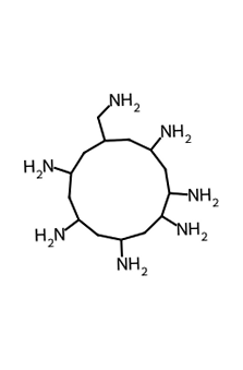 NCC1CC(N)CC(N)CC(N)CC(N)C(N)CC(N)C1